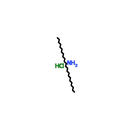 CCCCCCCCCCCCC(N)CCCCCCCCCCC.Cl